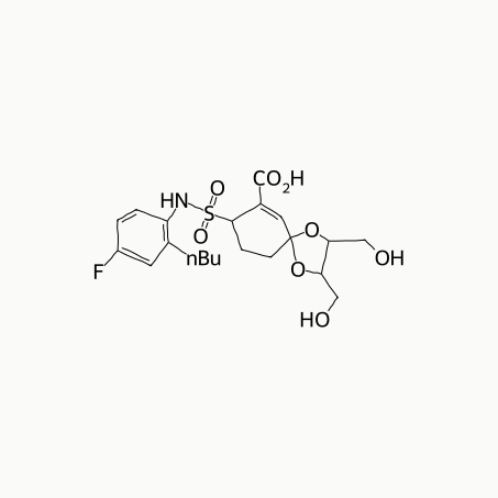 CCCCc1cc(F)ccc1NS(=O)(=O)C1CCC2(C=C1C(=O)O)OC(CO)C(CO)O2